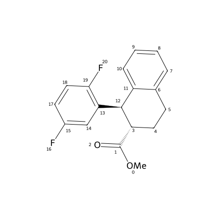 COC(=O)[C@H]1CCc2ccccc2[C@@H]1c1cc(F)ccc1F